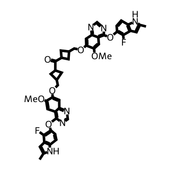 COc1cc2c(Oc3ccc4[nH]c(C)cc4c3F)ncnc2cc1OCC1CC(C(=O)C2CC(COc3cc4ncnc(Oc5ccc6[nH]c(C)cc6c5F)c4cc3OC)C2)C1